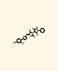 Cc1c(N2C(=O)/C(=C/c3ccc(-c4ccc(Cl)cc4Cl)o3)SC2=S)c(=O)n(-c2ccccc2)n1C